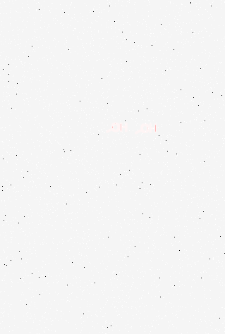 OC[C](Cc1ccccc1)c1ccccc1CO